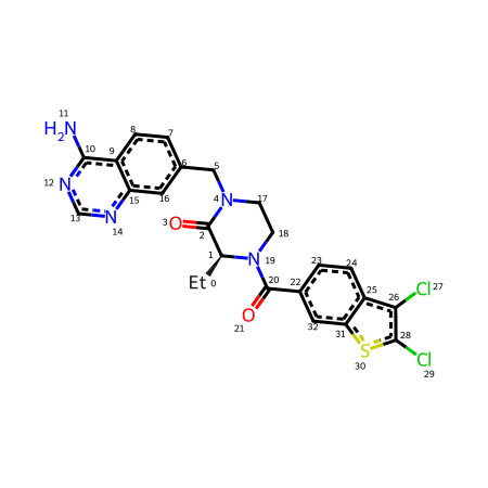 CC[C@H]1C(=O)N(Cc2ccc3c(N)ncnc3c2)CCN1C(=O)c1ccc2c(Cl)c(Cl)sc2c1